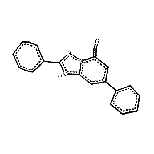 O=c1cc(-c2ccccc2)cc2[nH]c(-c3ccccc3)nn12